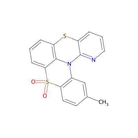 Cc1ccc2c(c1)N1c3ncccc3Sc3cccc(c31)S2(=O)=O